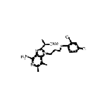 COC(C)c1nc2c(N)nc(C)c(C)c2n1CCCSc1ccc(Cl)cc1Cl